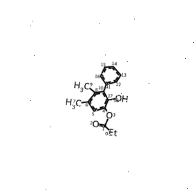 CCC(=O)Oc1cc(C)c(C)c(-c2ccccc2)c1O